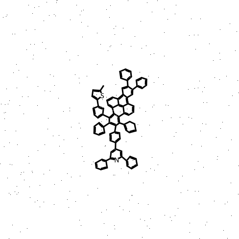 Cc1ccc(-c2cccc(-c3c(-c4ccccc4)c(-c4ccc(-c5cc(-c6ccccc6)nc(-c6ccccc6)c5)cc4)c(C4=CC=CCC4)c4c5cccc6c7cc(-c8ccccc8)c(-c8ccccc8)cc7c7cccc(c34)c7c65)c2)s1